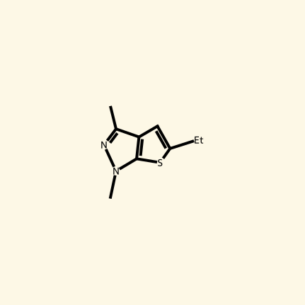 CCc1cc2c(C)nn(C)c2s1